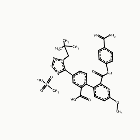 COc1ccc(-c2ccc(-c3nnnn3CC(C)(C)C)cc2C(=O)O)c(C(=O)Nc2ccc(C(=N)N)cc2)n1.CS(=O)(=O)O